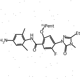 CCC[C@H](C)Oc1cc(-n2nc(CC)n(C)c2=O)c(F)cc1C(=O)Nc1c(C)cc(N)cc1C